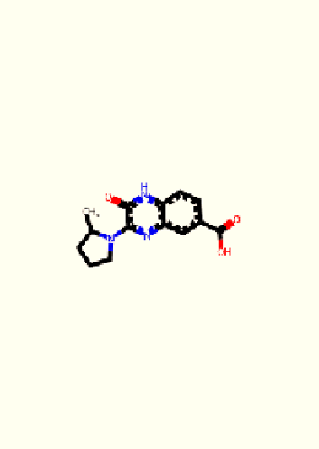 CC1CCCN1c1nc2cc(C(=O)O)ccc2[nH]c1=O